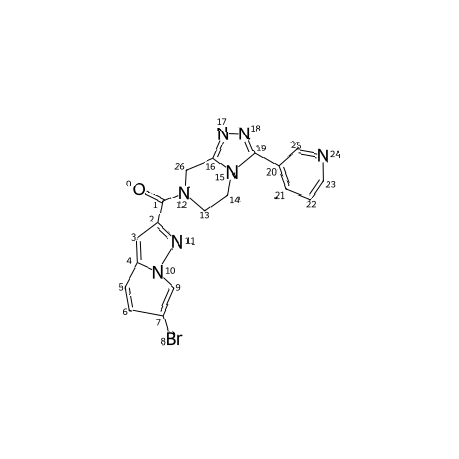 O=C(c1cc2ccc(Br)cn2n1)N1CCn2c(nnc2-c2cccnc2)C1